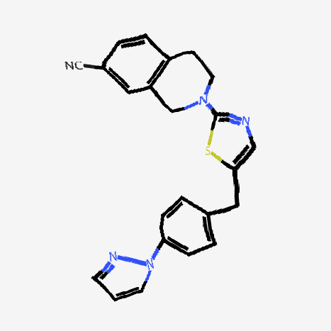 N#Cc1ccc2c(c1)CN(c1ncc(Cc3ccc(-n4cccn4)cc3)s1)CC2